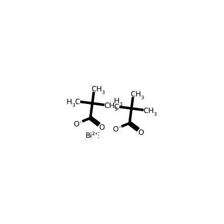 CC(C)(C)C(=O)[O-].CC(C)(C)C(=O)[O-].[Bi+2]